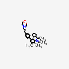 C=C(C1CCCC1)N(CC)c1cc(-c2ccc(CCCN3CCOCC3)cc2)cc(C)c1C